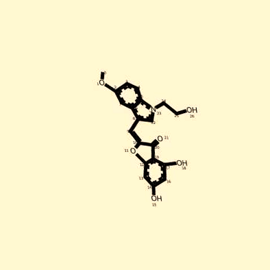 COc1ccc2c(c1)c(C=C1Oc3cc(O)cc(O)c3C1=O)cn2CCO